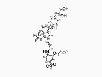 COCCOc1cc(S(C)(=O)=O)ccc1NCC#Cc1cc2c(NC3CCN(CC(O)CO)CC3)cccc2n1CC(F)(F)F